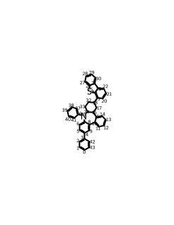 c1ccc(-c2ccc3c(c2)-c2ccccc2C2CC(c4cccc5c4sc4ccccc45)CCC2N3c2ccccc2)cc1